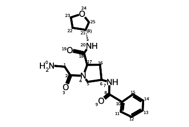 NCC(=O)N1CC(NC(=O)c2ccccc2)CC1C(=O)N[C@@H]1CCOC1